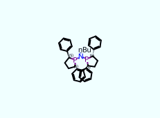 CCCCN(P1[C@H](c2ccccc2)CC[C@H]1c1ccccc1)P1[C@H](c2ccccc2)CC[C@H]1c1ccccc1